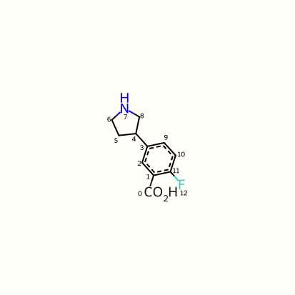 O=C(O)c1cc(C2CCNC2)ccc1F